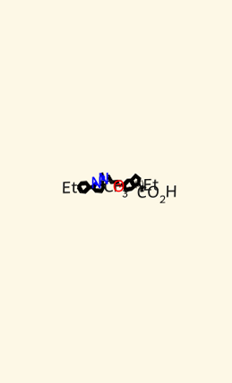 CCc1ccc(-c2ccc(C(F)(F)F)c(N(C)CCCOc3ccc4c(c3)CC[C@H]4C(CC)C(=O)O)n2)cc1